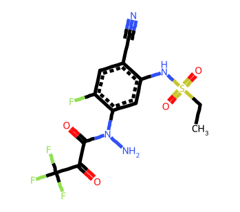 CCS(=O)(=O)Nc1cc(N(N)C(=O)C(=O)C(F)(F)F)c(F)cc1C#N